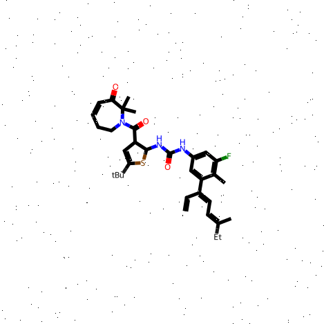 C=C/C(=C\C=C(/C)CC)c1cc(NC(=O)NC2SC(C(C)(C)C)=CC2C(=O)N2CCC=CC(=O)C2(C)C)cc(F)c1C